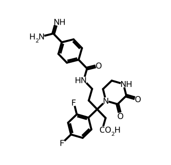 N=C(N)c1ccc(C(=O)NCCC(CC(=O)O)(c2ccc(F)cc2F)N2CCNC(=O)C2=O)cc1